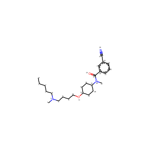 CCCCCN(C)CCCCOC1CCC(N(C)C(=O)c2cccc(C#N)c2)CC1